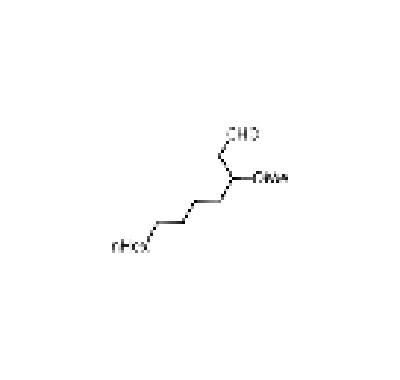 CCCCCCCCCCC(CC=O)OC